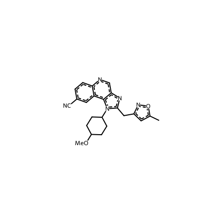 COC1CCC(n2c(Cc3cc(C)on3)nc3cnc4ccc(C#N)cc4c32)CC1